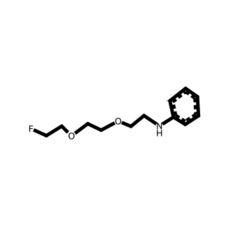 FCCOCCOCCNc1[c]cccc1